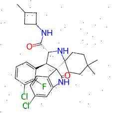 CC1CC(NC(=O)[C@@H]2NC3(CCC(C)(C)CC3)[C@@]3(C(=O)Nc4cc(Cl)ccc43)[C@H]2c2cccc(Cl)c2F)C1